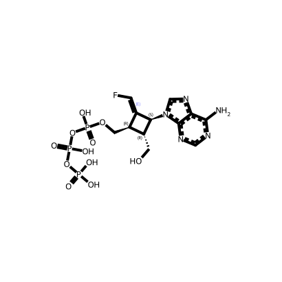 Nc1ncnc2c1ncn2[C@@H]1/C(=C/F)[C@H](COP(=O)(O)OP(=O)(O)OP(=O)(O)O)[C@H]1CO